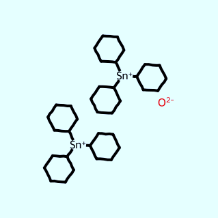 C1CC[CH]([Sn+]([CH]2CCCCC2)[CH]2CCCCC2)CC1.C1CC[CH]([Sn+]([CH]2CCCCC2)[CH]2CCCCC2)CC1.[O-2]